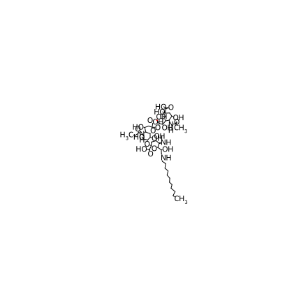 CCCCCCCCCCCCNCC(O)C1OC(OC(CO)C(O)C2OC(OC(CO)C(O)C3OC(O)(C(=O)O)CC(O)C3NC(C)=O)(C(=O)O)CC(O)C2NC(=O)CC)(C(=O)O)CC(O)C1=N